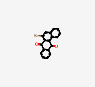 O=C1c2ccccc2C(=O)c2c1c(Br)cc1ccccc21